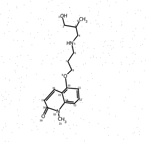 CC(CO)CNCCCOc1cccc2c1ccc(=O)n2C